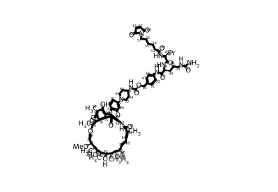 CO[C@H]1/C=C/O[C@@]2(C)Oc3c(C)c(O)c4c(=O)c(c5oc6cc(N7CCC(NC(=O)OCc8ccc(NC(=O)[C@H](CCCNC(N)=O)NC(=O)[C@@H](NC(=O)CCCCCN9C(=O)C=CC9=O)C(C)C)cc8)CC7)ccc6nc-5c4c3C2=O)NC(=O)/C(C)=C\C=C\[C@H](C)[C@H](O)[C@@H](C)[C@@H](O)[C@@H](C)[C@H](O)[C@@H]1C